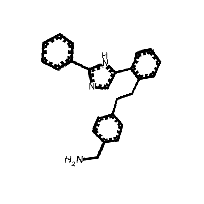 NCc1ccc(CCc2cc[c]cc2-c2cnc(-c3ccccc3)[nH]2)cc1